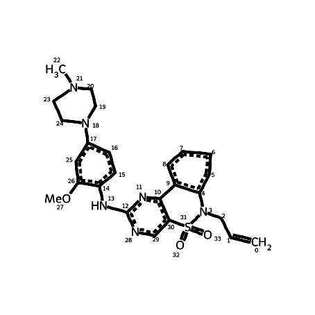 C=CCN1c2ccccc2-c2nc(Nc3ccc(N4CCN(C)CC4)cc3OC)ncc2S1(=O)=O